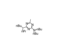 CCCCC(CCC)c1nc(C)nc(N(CCCC)CCCC)n1